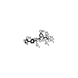 Cc1ncsc1-c1ccc([C@@H](C)NC(=O)[C@@H]2C[C@@H](O)CN2C(=O)[C@@H](N)C(C)(C)C)cc1